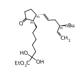 C=C[C@@H](CC=C[C@H]1CCC(=O)[C@@H]1CCCCCC(O)(O)C(=O)OCC)CCCC